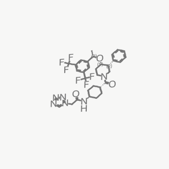 C[C@@H](O[C@H]1CCN(C(=O)[C@H]2CC[C@H](NC(=O)Cn3cnnn3)CC2)C[C@H]1c1ccccc1)c1cc(C(F)(F)F)cc(C(F)(F)F)c1